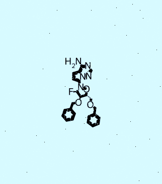 Nc1ncnn2c(N3O[C@H](COCc4ccccc4)[C@@H](OCc4ccccc4)[C@H]3F)ccc12